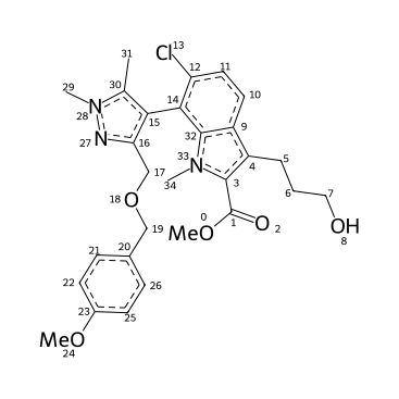 COC(=O)c1c(CCCO)c2ccc(Cl)c(-c3c(COCc4ccc(OC)cc4)nn(C)c3C)c2n1C